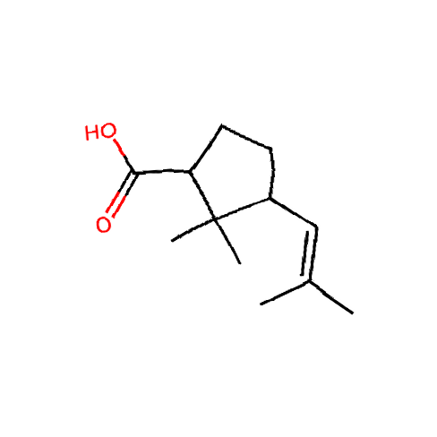 CC(C)=CC1CCC(C(=O)O)C1(C)C